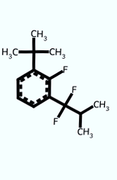 CC(C)C(F)(F)c1cccc(C(C)(C)C)c1F